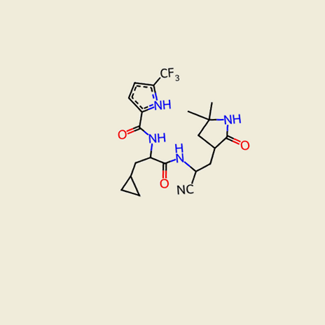 CC1(C)CC(CC(C#N)NC(=O)C(CC2CC2)NC(=O)c2ccc(C(F)(F)F)[nH]2)C(=O)N1